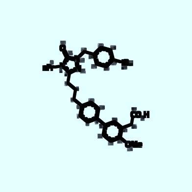 CCCn1c(CCCc2ccc(-c3ccc(OC)c(CC(=O)O)c3)cc2)nn(Cc2ccc(C(C)(C)C)cc2)c1=O